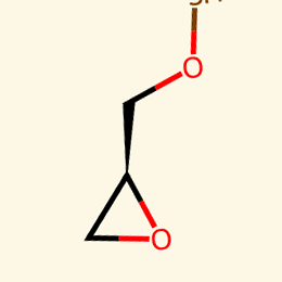 SOC[C@@H]1CO1